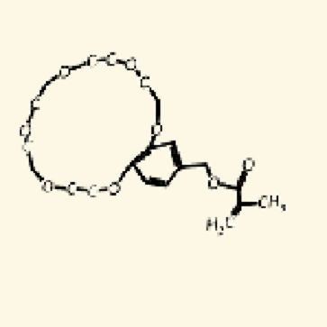 C=C(C)C(=O)OCc1ccc2c(c1)OCCOCCOCCOCCOCCO2